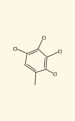 Cc1cc(Cl)c(Cl)c(Cl)c1Cl